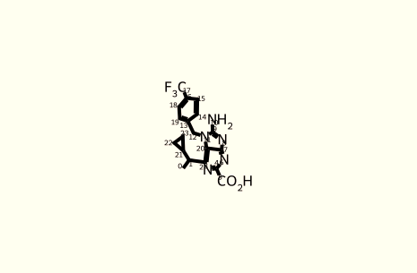 CC(c1nc(C(=O)O)nc2nc(N)n(Cc3ccc(C(F)(F)F)cc3)c12)C1CC1